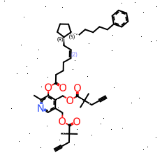 C#CCC(C)(C)C(=O)OCc1cnc(C)c(OC(=O)CCC/C=C\C[C@H]2CCC[C@@H]2CCCCCc2ccccc2)c1COC(=O)C(C)(C)CC#C